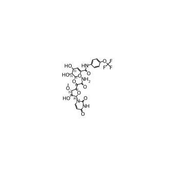 CO[C@H]1[C@@H](O)[C@H](n2ccc(=O)[nH]c2=O)O[C@@H]1[C@@H](O[C@H]1OC(C(=O)Nc2ccc(OC(F)(F)F)cc2)=C[C@H](O)[C@@H]1O)C(N)=O